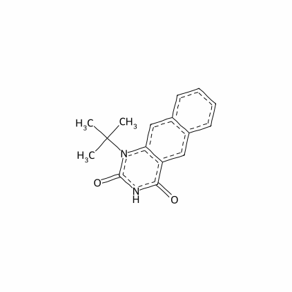 CC(C)(C)n1c(=O)[nH]c(=O)c2cc3ccccc3cc21